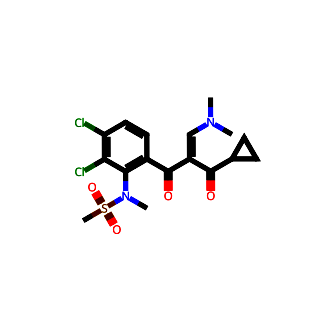 CN(C)C=C(C(=O)c1ccc(Cl)c(Cl)c1N(C)S(C)(=O)=O)C(=O)C1CC1